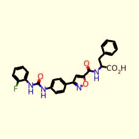 O=C(Nc1ccc(-c2cc(C(=O)NC(Cc3ccccc3)C(=O)O)on2)cc1)Nc1ccccc1F